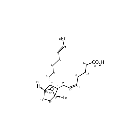 CCC=CCCCC[C@@H]1[C@H](C/C=C\CCCC(=O)O)[C@@H]2CC[C@H]1O2